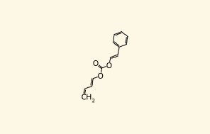 C=CC=COC(=O)OC=Cc1ccccc1